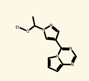 CCOC(C)n1cc(-c2ncnc3cccn23)cn1